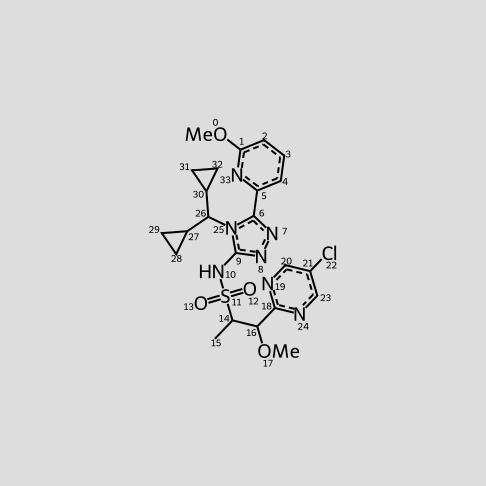 COc1cccc(-c2nnc(NS(=O)(=O)C(C)C(OC)c3ncc(Cl)cn3)n2C(C2CC2)C2CC2)n1